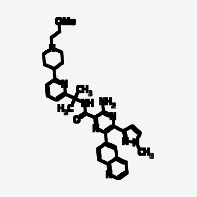 COCCN1CCC(c2cccc(C(C)(C)NC(=O)c3nc(-c4ccc5ncccc5c4)c(-c4ccn(C)n4)nc3N)n2)CC1